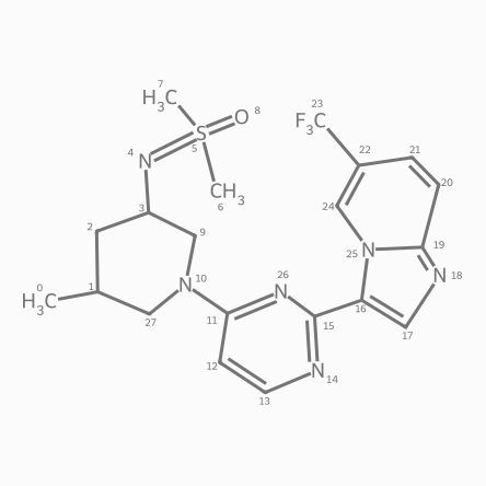 CC1CC(N=S(C)(C)=O)CN(c2ccnc(-c3cnc4ccc(C(F)(F)F)cn34)n2)C1